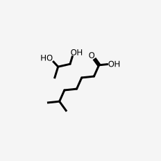 CC(C)CCCCC(=O)O.CC(O)CO